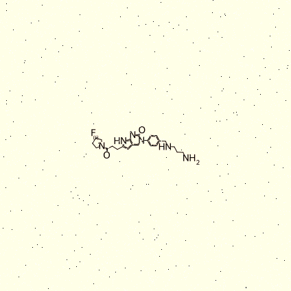 NCCCNCc1ccc(-n2cc3cc(CCC(=O)N4CC[C@H](F)C4)[nH]c3nc2=O)cc1